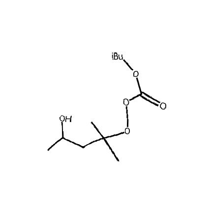 CCC(C)OC(=O)OOC(C)(C)CC(C)O